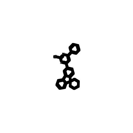 Clc1nc(-c2ccccc2)cc(-c2ccc3c(c2)-c2ccccc2C32CCCCC2)n1